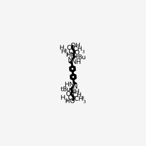 CC(O)C(C)(C)C(=O)N[C@H](c1ncc(-c2ccc(-c3ccc(-c4cnc([C@@H](NC(=O)C(C)(C)C(C)O)C(C)(C)C)[nH]4)cc3)cc2)[nH]1)C(C)(C)C